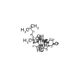 CC(C)CCC[C@@H](C)[C@H]1CC[C@H]2[C@@H]3C(O)CC4CC(=O)CC[C@]4(C)[C@H]3CC(O)[C@]12C